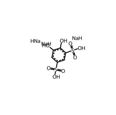 O=S(=O)(O)c1cc(O)c(O)c(S(=O)(=O)O)c1.[NaH].[NaH].[NaH]